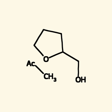 CC(C)=O.OCC1CCCO1